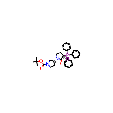 CC(C)(C)OC(=O)N1CC[C@@H](N2CC[C@@H]([PH](c3ccccc3)(c3ccccc3)c3ccccc3)C2=O)C1